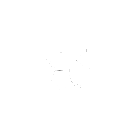 O=C1C=CC(=O)N1C(C(F)(F)F)(C(F)(F)F)C(F)(F)F